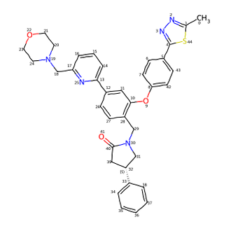 Cc1nnc(-c2ccc(Oc3cc(-c4cccc(CN5CCOCC5)n4)ccc3CN3C[C@H](c4ccccc4)CC3=O)cc2)s1